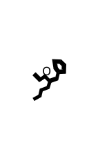 C=CC(=O)C(=Cc1ccccc1)CCCC